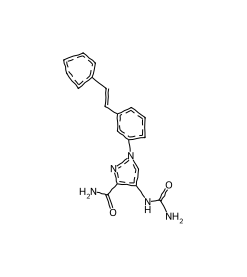 NC(=O)Nc1cn(-c2cccc(C=Cc3ccccc3)c2)nc1C(N)=O